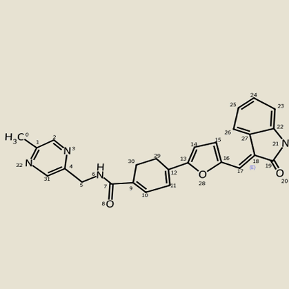 Cc1cnc(CNC(=O)C2=CC=C(c3ccc(/C=C4/C(=O)Nc5ccccc54)o3)CC2)cn1